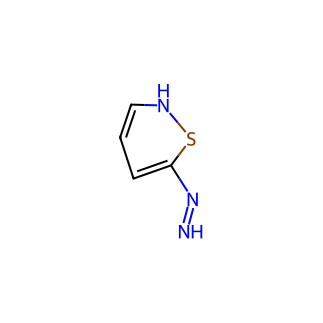 N=NC1=CC=CNS1